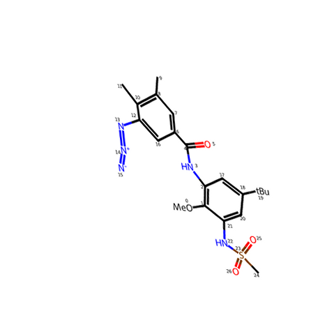 COc1c(NC(=O)c2cc(C)c(C)c(N=[N+]=[N-])c2)cc(C(C)(C)C)cc1NS(C)(=O)=O